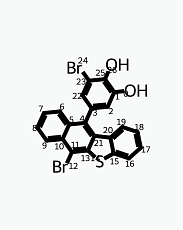 Oc1cc(-c2c3ccccc3c(Br)c3sc4ccccc4c23)cc(Br)c1O